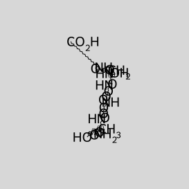 C=C(O)[C@H](CCCCC(=O)NCCOCCOCC(=O)NCCOCCOCC(=O)NCCCC[C@H](C)C(=O)C[C@@H](Cc1ccc(O)cc1)C(N)=O)NC(=O)[C@H]1CC[C@H](CNC(=O)CCCCCCCCCCCCCCCCCCC(=O)O)CC1